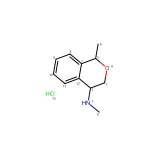 CNC1COC(C)c2ccccc21.Cl